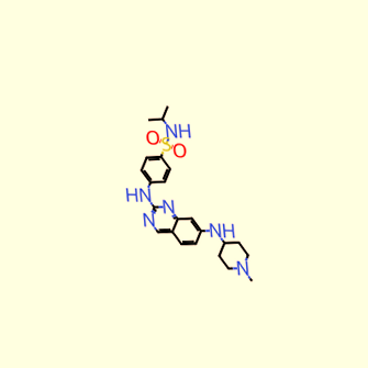 CC(C)NS(=O)(=O)c1ccc(Nc2ncc3ccc(NC4CCN(C)CC4)cc3n2)cc1